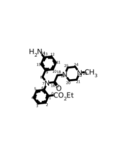 CCOC(=O)c1ccccc1N(Cc1cccc(N)c1)C(=O)CN1CCN(C)CC1